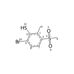 Cc1c(S(C)(=O)=O)ccc(Br)c1S